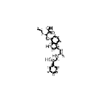 CCC[C@H](Oc1cccc2c(C[C@@H](C)NC[C@H](O)c3cccnc3)c[nH]c12)C(=O)O